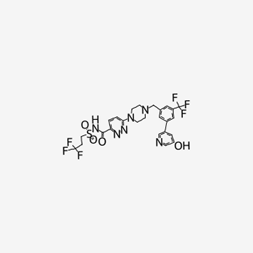 O=C(NS(=O)(=O)CCC(F)(F)F)c1ccc(N2CCN(Cc3cc(-c4cncc(O)c4)cc(C(F)(F)F)c3)CC2)nn1